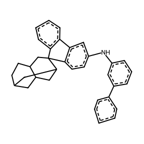 c1ccc(-c2cccc(Nc3ccc4c(c3)-c3ccccc3C43CC4CCC5CC4CC3C5)c2)cc1